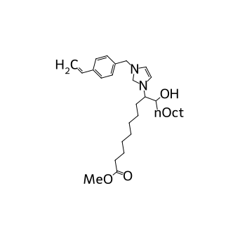 C=Cc1ccc(CN2C=CN(C(CCCCCCCC(=O)OC)C(O)CCCCCCCC)C2)cc1